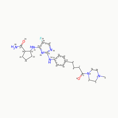 CN1CCN(C(=O)CCCc2ccc(Nc3ncc(F)c(NC4CCCC4C(N)=O)n3)cc2)CC1